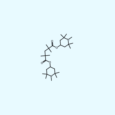 CN1C(C)(C)CC(OC(=O)C(C)(C)CC(C)(C)C(=O)OC2CC(C)(C)N(C)C(C)(C)C2)CC1(C)C